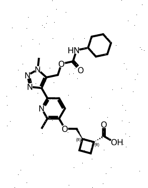 Cc1nc(-c2nnn(C)c2COC(=O)NC2CCCCC2)ccc1OC[C@@H]1CC[C@H]1C(=O)O